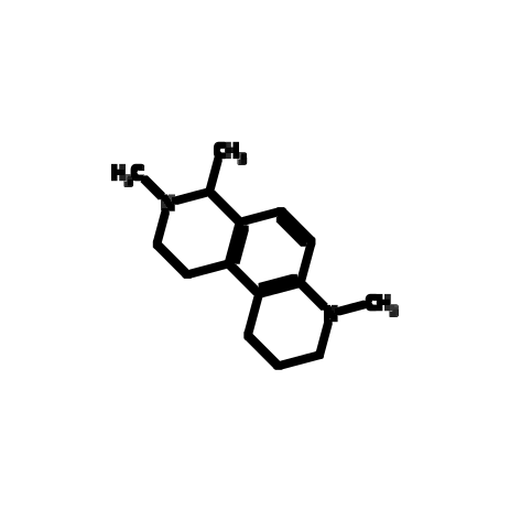 CC1c2ccc3c(c2CCN1C)CCCN3C